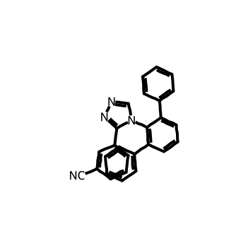 N#Cc1cccc(-c2nncn2-c2c(-c3ccccc3)cccc2-c2ccccc2)c1